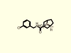 O=C(NCc1cccc(Cl)c1)C1CC2CC[C@@H](C1)N2C(=O)O